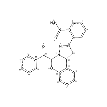 NC(=O)c1ccccc1C1=NN2C(C(=O)c3ccccc3)Oc3ccccc3C2C1